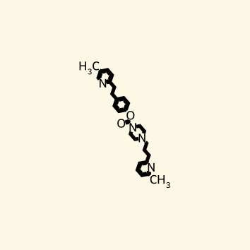 Cc1ccc(CCc2ccc(OC(=O)N3CCN(CCCc4cccc(C)n4)CC3)cc2)nc1